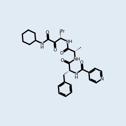 CC(C)[C@H](NC(=O)[C@H](C)NC(=O)[C@@H](Cc1ccccc1)NC(=O)c1ccncc1)C(=O)C(=O)NC1CCCCC1